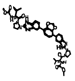 COC(=O)N[C@H](C(=O)N1CCC[C@H]1c1nc2cc(-c3ccc(-c4ccc5nc([C@@H]6CCCN6C(=O)[C@@H](NC(=O)OC)C(C)C)[nH]c5c4)c4c3OCO4)ccc2[nH]1)C(C)C